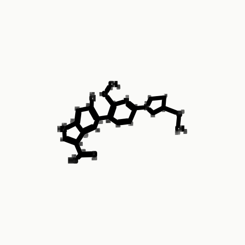 COc1nc(N2CCC(OC)C2)ccc1-c1cc2c(C(=O)O)c[nH]c2cc1Cl